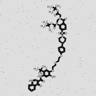 CC(C)(C)OC(=O)CN1CN(C(=O)OC(C)(C)C)c2cc(S(=O)(=O)N3CCC(c4ccc(OCCOCCOc5cc(C(C)(C)C)c(NC(=O)c6c[nH]c7ccccc7c6=O)cc5O)cc4)CC3)ccc2C1=O